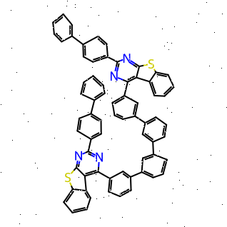 c1ccc(-c2ccc(-c3nc(-c4cccc(-c5cccc(-c6cccc(-c7cccc(-c8nc(-c9ccc(-c%10ccccc%10)cc9)nc9sc%10ccccc%10c89)c7)c6)c5)c4)c4c(n3)sc3ccccc34)cc2)cc1